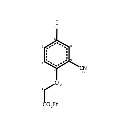 CCOC(=O)COc1c[c]c(F)cc1C#N